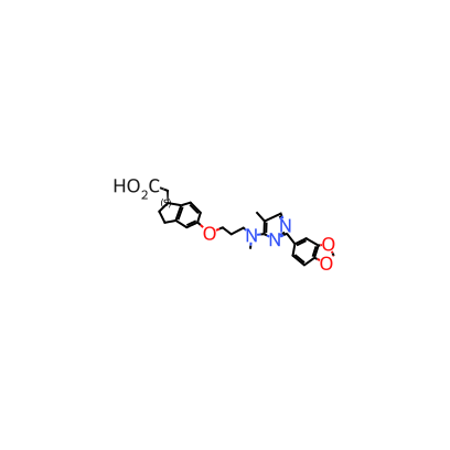 Cc1cnc(-c2ccc3c(c2)OCO3)nc1N(C)CCCOc1ccc2c(c1)CC[C@H]2CC(=O)O